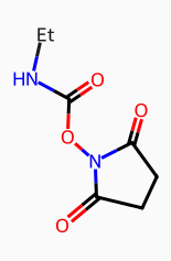 CCNC(=O)ON1C(=O)CCC1=O